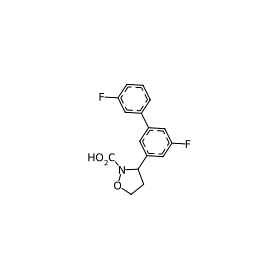 O=C(O)N1OCCC1c1cc(F)cc(-c2cccc(F)c2)c1